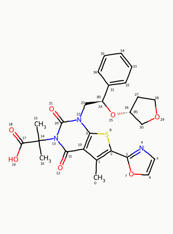 Cc1c(-c2ncco2)sc2c1c(=O)n(C(C)(C)C(=O)O)c(=O)n2C[C@H](O[C@@H]1CCOC1)c1ccccc1